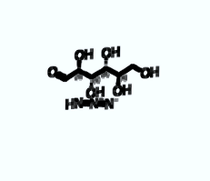 O=C[C@@H](O)[C@@H](O)[C@H](O)[C@H](O)CO.[N-]=[N+]=N